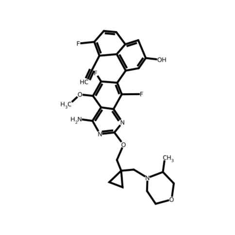 C#Cc1c(F)ccc2cc(O)cc(-c3c(F)c(OC)c4c(N)nc(OCC5(CN6CCOCC6C)CC5)nc4c3F)c12